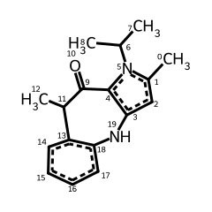 Cc1cc2c(n1C(C)C)C(=O)C(C)c1ccccc1N2